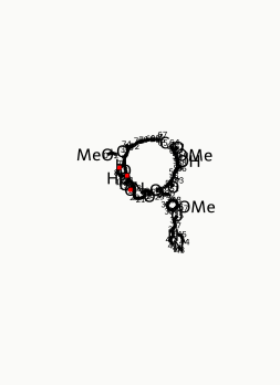 COCCO[C@H]1C[C@@H]2CC[C@@H](C)[C@@](O)(O2)C(=O)C(=O)N2CCCCC2C(=O)O[C@H]([C@H](C)C[C@@H]2CC[C@@H](OCCCN3CCN(C)CC3)[C@H](OC)C2)CC(=O)[C@H](C)/C=C(\C)[C@@H](O)[C@@H](OC)C(=O)[C@H](C)C[C@H](C)/C=C/C=C/C=C/1C